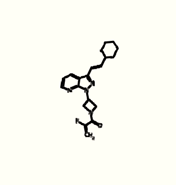 C=C(F)C(=O)N1CC(n2nc(C=CC3CCCCC3)c3cccnc32)C1